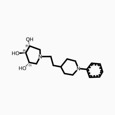 O[C@H]1[C@H](O)CN(CCC2CCN(c3ccccc3)CC2)C[C@@H]1O